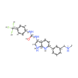 CNCc1cccc(-c2ccc3c(NC(=O)Nc4ccc(C(F)(F)F)cc4)c[nH]c3n2)c1